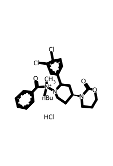 CCCC[N+](C)(C(=O)c1ccccc1)N1CC[C@H](N2CCCOC2=O)CC1c1ccc(Cl)c(Cl)c1.Cl